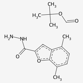 CC(C)(C)OC=O.Cc1ccc(C)c2oc(C(=O)NN)cc12